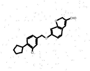 O=CC1=Cc2ccc(OCc3ccc(C4CCCC4)c(Cl)c3)cc2OC1